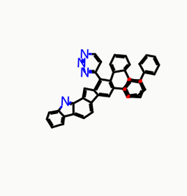 C1=c2c(ccc3c2=Nc2ccccc2-3)-c2cc(-c3ccccc3)c(-c3ccccc3-c3ccccc3-c3ccccc3)c(-c3ccnnn3)c21